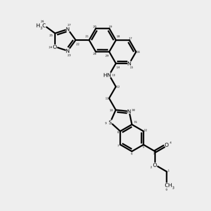 CCOC(=O)c1ccc2sc(CCNc3nccc4ccc(-c5noc(C)n5)cc34)nc2c1